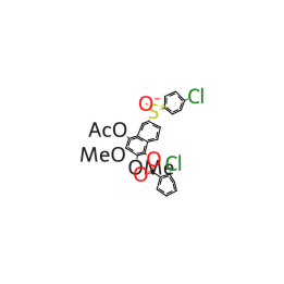 COc1c(OC)c(OC(=O)c2ccccc2Cl)c2ccc([S+]([O-])c3ccc(Cl)cc3)cc2c1OC(C)=O